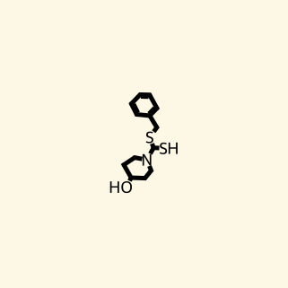 OC1CCN(C(S)SCc2ccccc2)CC1